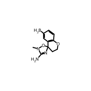 Bc1ccc2c(c1)C1(CCO2)N=C(N)N(C)O1